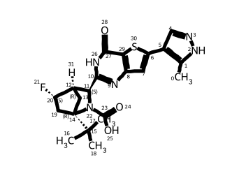 Cc1[nH]ncc1-c1cc2nc([C@@H]3[C@H]4C[C@](C(C)(C)C)(C[C@@H]4F)N3C(=O)O)[nH]c(=O)c2s1